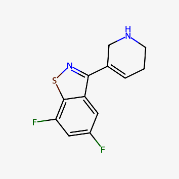 Fc1cc(F)c2snc(C3=CCCNC3)c2c1